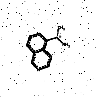 C[C@H](N)c1cccc2cnccc12